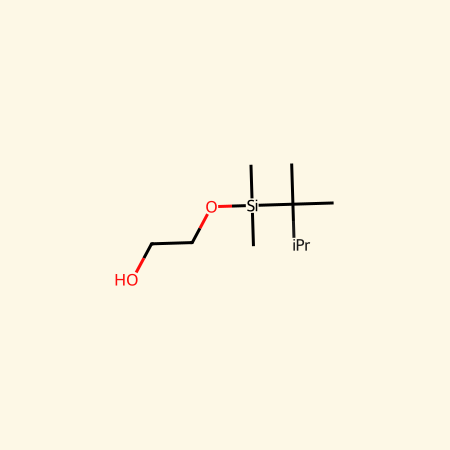 CC(C)C(C)(C)[Si](C)(C)OCCO